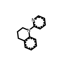 c1ccc(N2CCCc3ccccc32)nc1